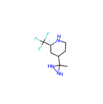 CC1(C2CCNC(C(F)(F)F)C2)NN1